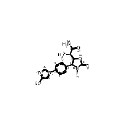 CCc1cn(-c2ccc(C3C(C(C)C(N)=O)OC(=O)N3F)cc2)cn1